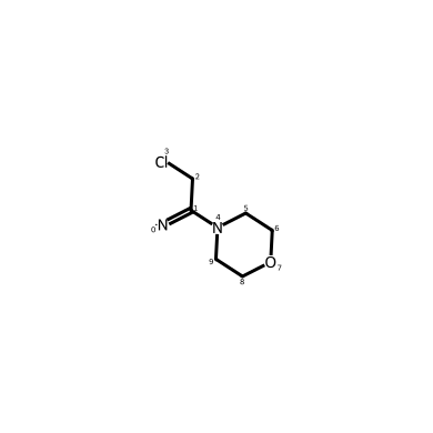 [N]=C(CCl)N1CCOCC1